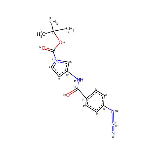 CC(C)(C)OC(=O)n1ccc(NC(=O)c2ccc(N=[N+]=[N-])cc2)c1